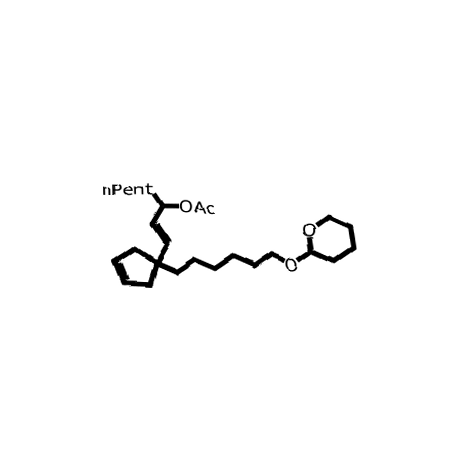 CCCCCC(C=CC1(CCCCCCOC2CCCCO2)CC=CC1)OC(C)=O